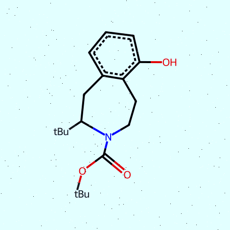 CC(C)(C)OC(=O)N1CCc2c(O)cccc2CC1C(C)(C)C